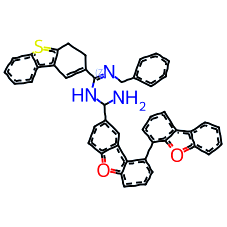 NC(N/C(=N\Cc1ccccc1)C1=Cc2c(sc3ccccc23)CC1)c1ccc2oc3cccc(-c4cccc5c4oc4ccccc45)c3c2c1